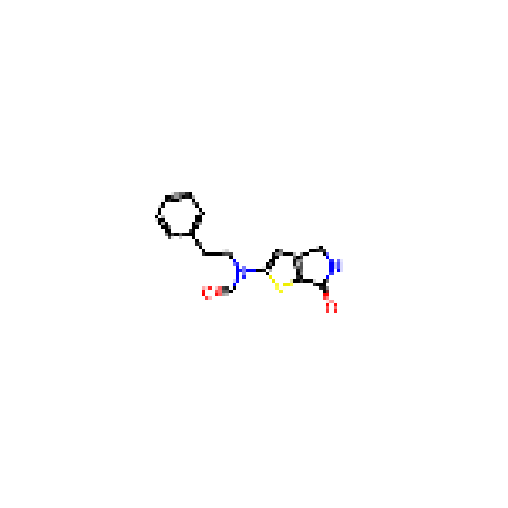 O=CN(CCc1ccccc1)c1cc2c(s1)C(=O)NC2